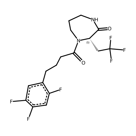 O=C1NCCCN(C(=O)CCCc2cc(F)c(F)cc2F)[C@H]1CC(F)(F)F